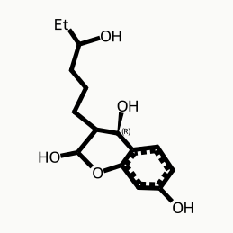 CCC(O)CCCC1C(O)Oc2cc(O)ccc2[C@@H]1O